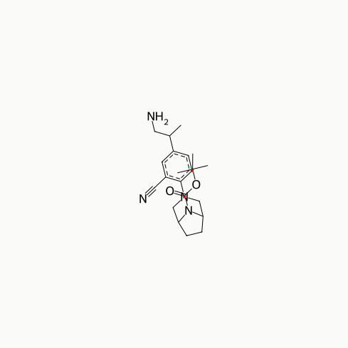 CC(CN)c1ccc(N2CC3CCC(C2)N3C(=O)OC(C)(C)C)c(C#N)c1